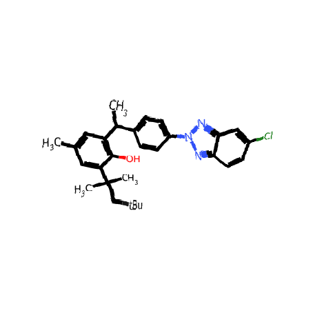 Cc1cc(C(C)c2ccc(-n3nc4ccc(Cl)cc4n3)cc2)c(O)c(C(C)(C)CC(C)(C)C)c1